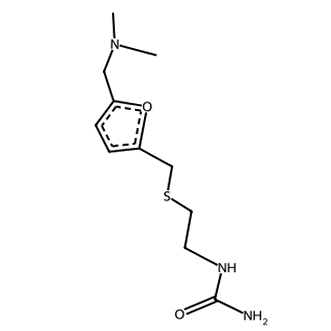 CN(C)Cc1ccc(CSCCNC(N)=O)o1